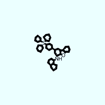 c1ccc(S(c2ccccc2)(c2ccccc2)c2ccc(-c3cc(Nc4cccc5ccccc45)c4oc5ccccc5c4c3)cc2)cc1